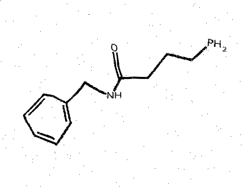 O=C(CCCP)NCc1ccccc1